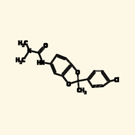 CN(C)C(=O)Nc1ccc2c(c1)OC(C)(c1ccc(Cl)cc1)O2